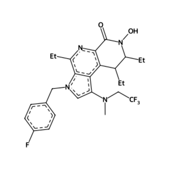 CCc1nc2c(c3c(N(C)CC(F)(F)F)cn(Cc4ccc(F)cc4)c13)C(CC)C(CC)N(O)C2=O